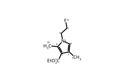 CCOC(=O)c1c(C)cn(CCF)c1C